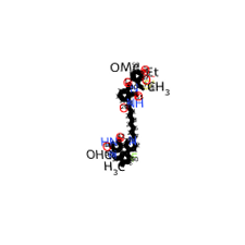 CCOc1cc(C(C[S+](C)[O-])N2C(=O)c3cccc(NC(=O)CCCCCCCN4CCC(c5cc(CN(C=O)C6CCC(=O)NC6=O)c(C)cc5F)CC4)c3C2=O)ccc1OC